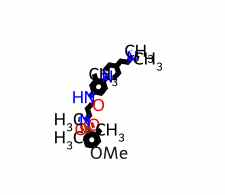 COc1cc(C)c(S(=O)(=O)N(C)CCC(=O)Nc2ccc(N3CCC(CCN(C)C)CC3)c(C)c2)c(C)c1